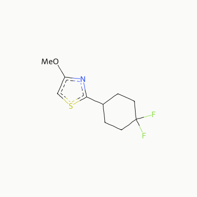 COc1csc(C2CCC(F)(F)CC2)n1